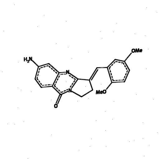 COc1ccc(OC)c(C=C2CCn3c2nc2cc(N)ccc2c3=O)c1